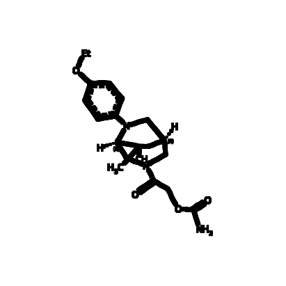 CCOc1ccc(N2C[C@H]3CN(C(=O)COC(N)=O)C[C@@H]2C(C)(C)C3)cc1